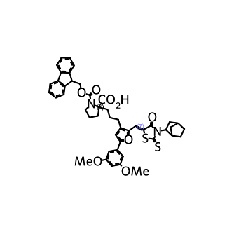 COc1cc(OC)cc(-c2cc(CCC[C@@]3(C(=O)O)CCCN3C(=O)OCC3c4ccccc4-c4ccccc43)c(/C=C3\SC(=S)N(C4CC5CCC4C5)C3=O)o2)c1